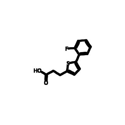 O=C(O)CCc1ccc(-c2ccccc2F)s1